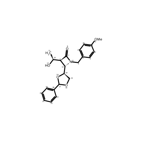 COc1ccc(CN2C(=O)[C@H]([C@H](C)O)[C@H]2[C@H]2COC(c3ccccc3)O2)cc1